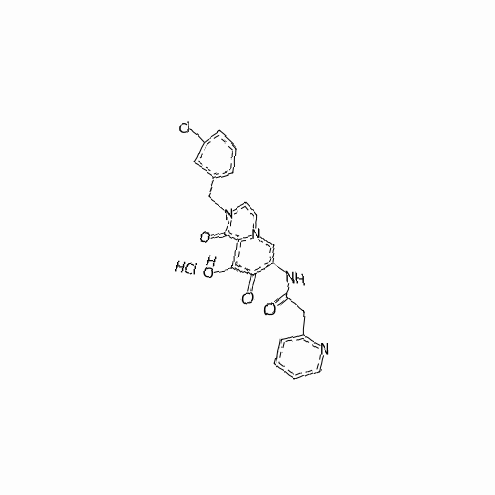 Cl.O=C(Cc1ccccn1)Nc1cn2ccn(Cc3cccc(Cl)c3)c(=O)c2c(O)c1=O